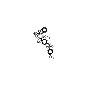 CN(C(=O)C1(C#N)CCC(NS(=O)(=O)c2ccc(C(F)(F)F)cc2)CC1)[C@@H](c1ccccc1)C(C)(C)O